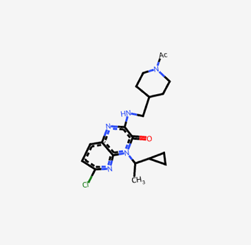 CC(=O)N1CCC(CNc2nc3ccc(Cl)nc3n(C(C)C3CC3)c2=O)CC1